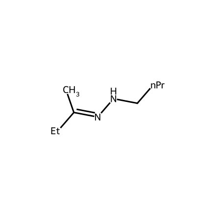 CCCCNN=C(C)CC